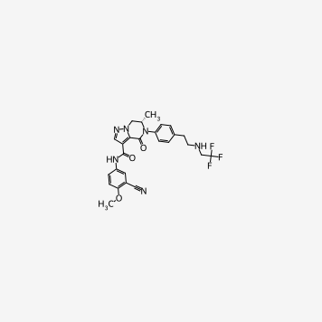 COc1ccc(NC(=O)c2cnn3c2C(=O)N(c2ccc(CCNCC(F)(F)F)cc2)[C@@H](C)C3)cc1C#N